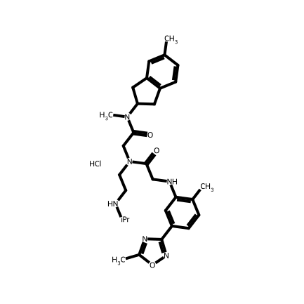 Cc1ccc2c(c1)CC(N(C)C(=O)CN(CCNC(C)C)C(=O)CNc1cc(-c3noc(C)n3)ccc1C)C2.Cl